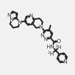 [2H]C([2H])(NC(=O)c1cc(C)c(N2CCc3ncc(N4CCCn5nccc54)cc3C2)nn1)c1ccncc1